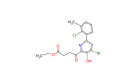 CCOC(=O)CCC(=O)c1nc(-c2cccc(C)c2Cl)cc(Br)c1O